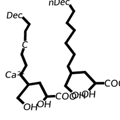 CCCCCCCCCCCCCCCCC(CO)CC(O)C(=O)[O-].CCCCCCCCCCCCCCCCC(CO)CC(O)C(=O)[O-].[Ca+2]